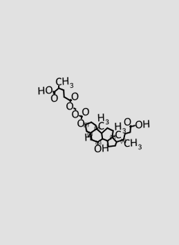 CC(CCC(=O)OCOC(=O)O[C@@H]1CC[C@]2(C)C3CC[C@@]4(C)C(CCC4[C@H](C)CCC(=O)O)C3[C@@H](O)C[C@@H]2C1)C(=O)O